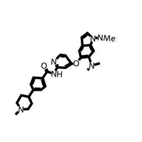 CNn1ccc2cc(Oc3ccnc(NC(=O)c4ccc(C5CCN(C)CC5)cc4)c3)c(N(C)C)cc21